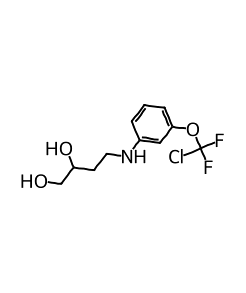 OCC(O)CCNc1cccc(OC(F)(F)Cl)c1